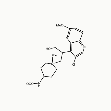 COc1ccc2ncc(Cl)c(C(CO)C[N+]3(C(C)(C)C)CCC(NC(=O)[O-])CC3)c2n1